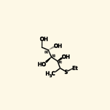 CCSC(C)[C@H](O)[C@@H](O)[C@@H](O)CO